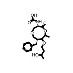 CC(O)CCOC1C(C)OC(=O)[C@@H](NC(=O)O)COC[C@@H]1Cc1ccccc1